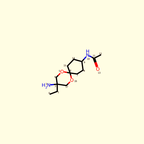 CCC1(N)COC2(CCC(NC(C)=O)CC2)OC1